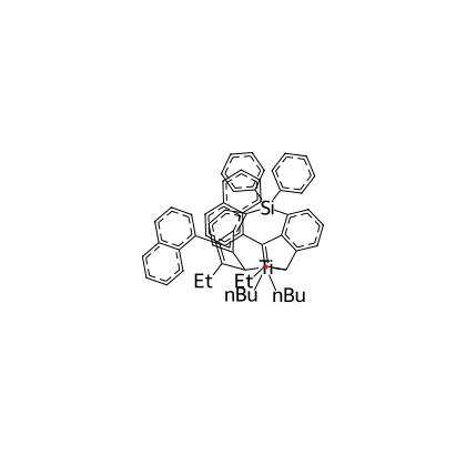 CCC[CH2][Ti]1([CH2]CCC)[CH]2C(CC)=C(c3cccc4ccccc34)c3c2cccc3[Si](c2ccccc2)(c2ccccc2)c2cccc3c2C(c2cccc4ccccc24)=C(CC)[CH]31